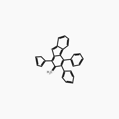 C=c1c(C2=CC=CC2)c2c(c(-c3ccccc3)c1-c1ccccc1)=c1ccccc1=[C]2